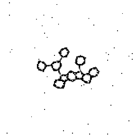 c1ccc(-c2cc(-c3ccccc3)cc(-n3c4ccccc4c4cc5c6ccc7ccccc7c6n(-c6ccccc6)c5cc43)c2)cc1